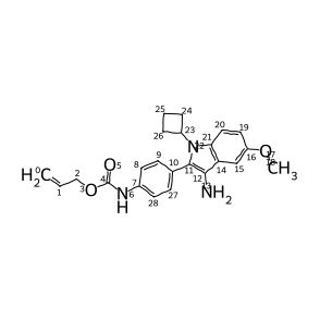 C=CCOC(=O)Nc1ccc(-c2c(N)c3cc(OC)ccc3n2C2CCC2)cc1